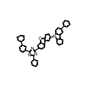 c1ccc(-c2cccc(-c3nc(-c4ccccc4)nc(-c4ccc5c(c4)oc4ccc(-n6c7ccccc7c7cc(-c8ccccc8)ccc76)cc45)n3)c2)cc1